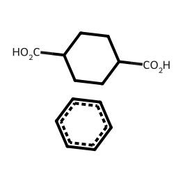 O=C(O)C1CCC(C(=O)O)CC1.c1ccccc1